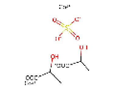 CC(O)C(=O)[O-].CC(O)C(=O)[O-].O=S(=O)([O-])[O-].[Co+2].[Co+2]